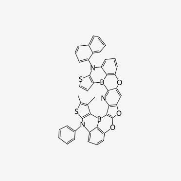 Cc1sc2c(c1C)B1c3c(cccc3N2c2ccccc2)Oc2oc3cc4c(nc3c21)B1c2ccsc2N(c2cccc3ccccc23)c2cccc(c21)O4